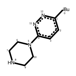 CCC(C)c1ccc(N2CCNCC2)nn1